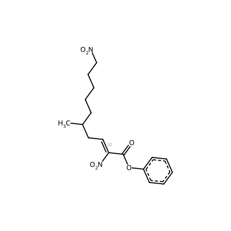 CC(C/C=C(/C(=O)Oc1ccccc1)[N+](=O)[O-])CCCCC[N+](=O)[O-]